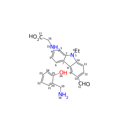 CCn1c2ccccc2c2cc(C=O)ccc21.NCC(=O)O.NCc1ccccc1O